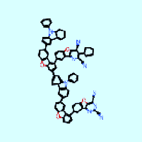 N#Cc1nc(C#N)c2oc3ccc(-c4cccc5oc6ccc(-c7ccc8c(c7)c7ccc(-c9cc(-c%10ccc%11oc%12c(C#N)c(-c%13ccccc%13)c(C#N)nc%12c%11c%10)c%10c(c9)oc9ccc(-c%11ccc%12c(c%11)c%11ccccc%11n%12-c%11ccccc%11)cc9%10)cc7n8-c7ccccc7)cc6c45)cc3c2n1